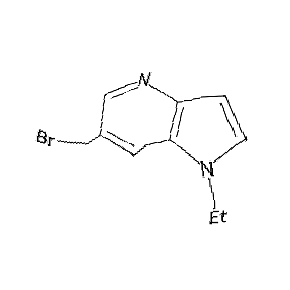 CCn1ccc2ncc(Br)cc21